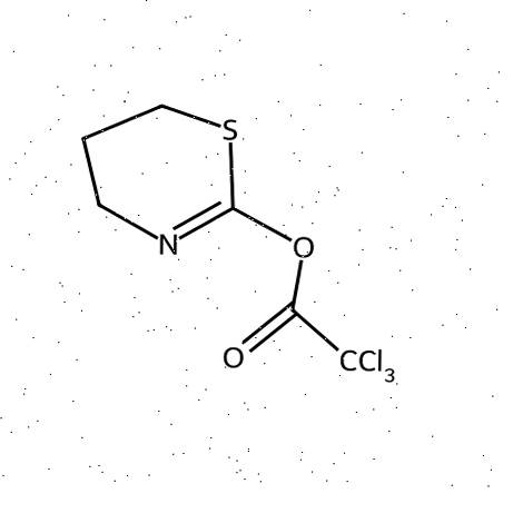 O=C(OC1=NCCCS1)C(Cl)(Cl)Cl